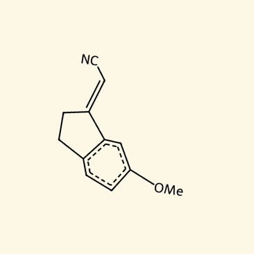 COc1ccc2c(c1)/C(=C/C#N)CC2